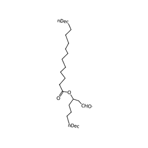 CCCCCCCCCCCCCCCCCCCCC(=O)OC(C[C]=O)CCCCCCCCCCCCC